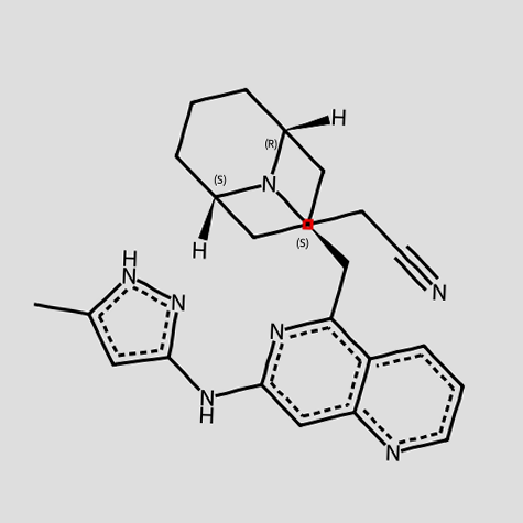 Cc1cc(Nc2cc3ncccc3c(C[C@@H]3C[C@H]4CCC[C@@H](C3)N4CCC#N)n2)n[nH]1